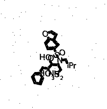 CC(C)CN(C(CS(=O)(=O)O)C(O)C(N)Cc1ccccc1)S(=O)(=O)c1ccc2occc2c1